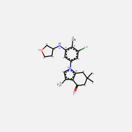 CC1(C)CC(=O)c2c(C(F)(F)F)cn(-c3cc(F)c(C#N)c(NC4CCOC4)c3)c2C1